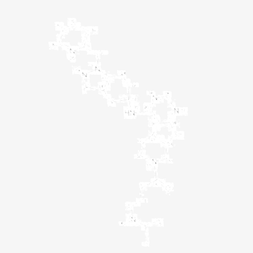 CC(C)N(C)CC=CC(=O)N1CCc2c(sc3ncnc(Nc4ccc5c(cnn5Cc5ccccn5)c4)c23)C1